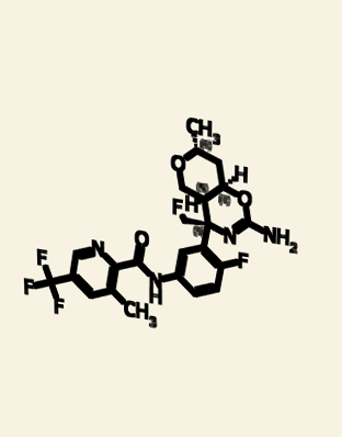 Cc1cc(C(F)(F)F)cnc1C(=O)Nc1ccc(F)c([C@@]2(CF)N=C(N)O[C@@H]3C[C@@H](C)OC[C@@H]32)c1